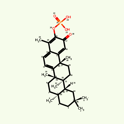 [CH2][C@@]1(C)CC[C@@]2(C)CC[C@]3(C)C4=CC=C5C(=CC(=O)C(OP(=O)(O)O)=C5C)[C@]4(C)CC[C@@]3(C)[C@@H]2C1